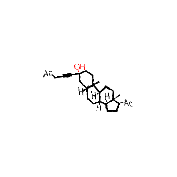 CC(=O)CC#C[C@@]1(O)CC[C@@]2(C)[C@H](CC[C@@H]3[C@@H]2CC[C@]2(C)[C@@H](C(C)=O)CC[C@@H]32)C1